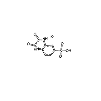 O=c1[nH]c2ccc(S(=O)(=O)O)cc2[nH]c1=O.[K]